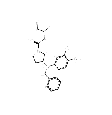 CCC(C)CC(=O)N1CC[C@H](N(Cc2ccccc2)c2ccc(N)c(Cl)c2)C1